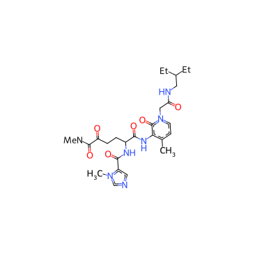 CCC(CC)CNC(=O)Cn1ccc(C)c(NC(=O)C(CCC(=O)C(=O)NC)NC(=O)c2cncn2C)c1=O